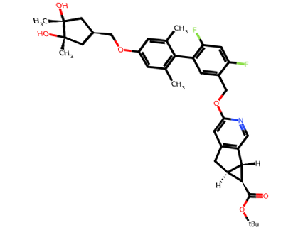 Cc1cc(OC[C@H]2C[C@](C)(O)[C@](C)(O)C2)cc(C)c1-c1cc(COc2cc3c(cn2)[C@H]2[C@H](C3)[C@@H]2C(=O)OC(C)(C)C)c(F)cc1F